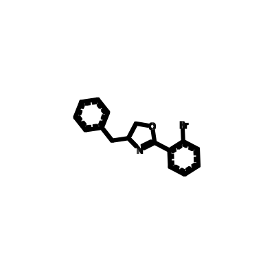 Brc1ccccc1C1=NC(Cc2ccccc2)CO1